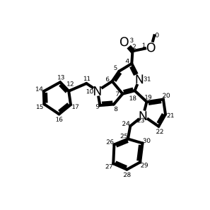 COC(=O)c1cc2c(ccn2Cc2ccccc2)c(-c2cccn2Cc2ccccc2)n1